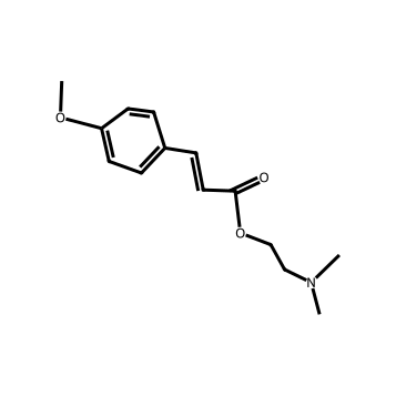 COc1ccc(C=CC(=O)OCCN(C)C)cc1